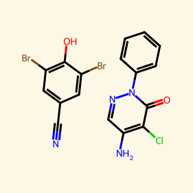 N#Cc1cc(Br)c(O)c(Br)c1.Nc1cnn(-c2ccccc2)c(=O)c1Cl